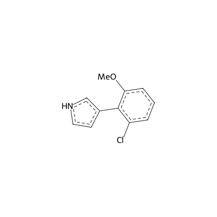 COc1cccc(Cl)c1-c1cc[nH]c1